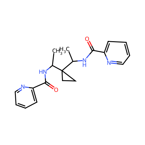 CC(NC(=O)c1ccccn1)C1(C(C)NC(=O)c2ccccn2)CC1